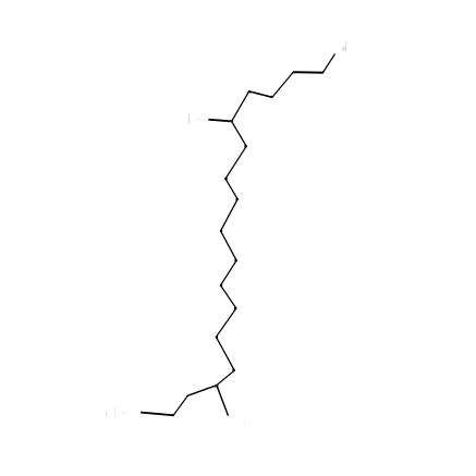 CCCCCCCCCCCCCCC(C)CCCCCCCCCC(C)CCCCCCCCCCCC